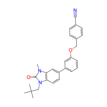 Cn1c(=O)n(CC(C)(C)C)c2ccc(-c3cccc(OCc4ccc(C#N)cc4)c3)cc21